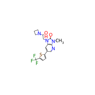 Cn1c(=O)n(CC(O)N2CCC2)c2cc(-c3ccc(C(F)(F)F)s3)cnc21